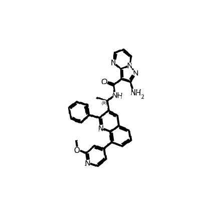 COc1cc(-c2cccc3cc([C@@H](C)NC(=O)c4c(N)nn5cccnc45)c(-c4ccccc4)nc23)ccn1